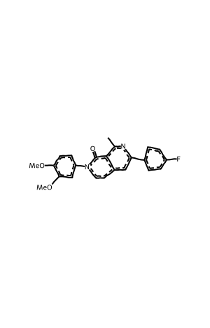 COc1ccc(-n2ccc3cc(-c4ccc(F)cc4)nc(C)c3c2=O)cc1OC